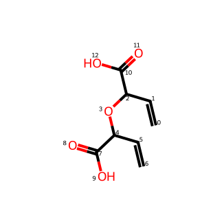 C=CC(OC(C=C)C(=O)O)C(=O)O